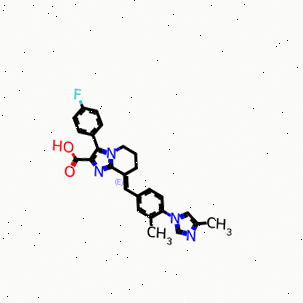 Cc1cn(-c2ccc(/C=C3\CCCn4c3nc(C(=O)O)c4-c3ccc(F)cc3)cc2C)cn1